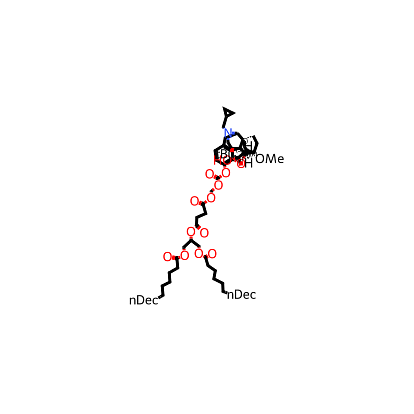 CCCCCCCCCCCCCCCC(=O)OCC(COC(=O)CCCCCCCCCCCCCCC)OC(=O)CCC(=O)OCOC(=O)Oc1ccc2c3c1O[C@H]1[C@@]4(OC)CC[C@@]5(C[C@@H]4[C@](C)(O)C(C)(C)C)C(C2)N(CC2CC2)CC[C@]315